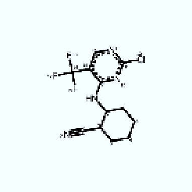 N#CC1CCCCC1Nc1nc(Cl)ncc1C(F)(F)F